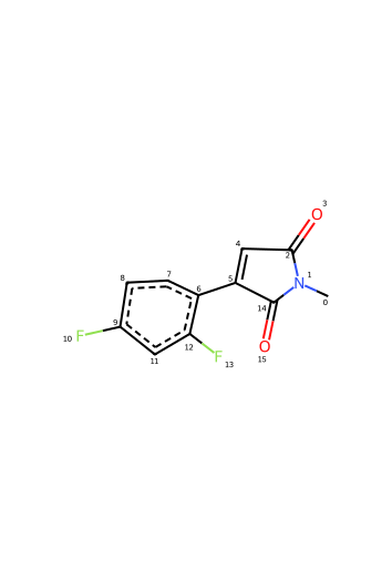 CN1C(=O)C=C(c2ccc(F)cc2F)C1=O